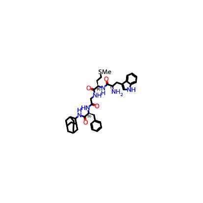 CSCC[C@@H](NC(=O)[C@@H](N)Cc1c[nH]c2ccccc12)C(=O)NCC(=O)N[C@@H](Cc1ccccc1)C(=O)NC1C2CC3CC(C2)CC1C3